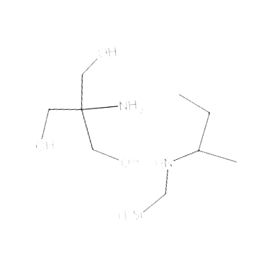 CCC(C)NC[SiH3].NC(CO)(CO)CO